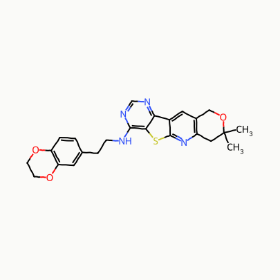 CC1(C)Cc2nc3sc4c(NCCc5ccc6c(c5)OCCO6)ncnc4c3cc2CO1